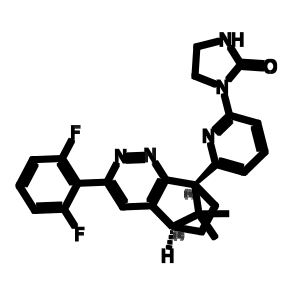 CC1(C)[C@H]2CC[C@@]1(c1cccc(N3CCNC3=O)n1)c1nnc(-c3c(F)cccc3F)cc12